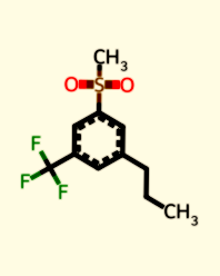 CCCc1cc(C(F)(F)F)cc(S(C)(=O)=O)c1